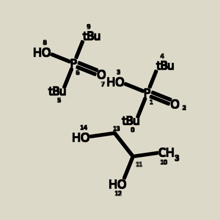 CC(C)(C)P(=O)(O)C(C)(C)C.CC(C)(C)P(=O)(O)C(C)(C)C.CC(O)CO